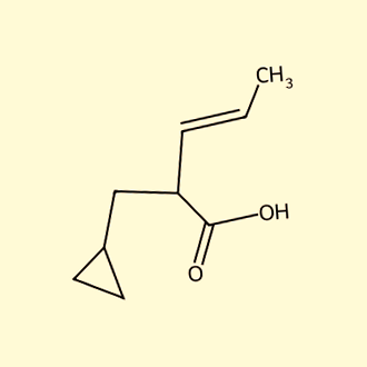 C/C=C/C(CC1CC1)C(=O)O